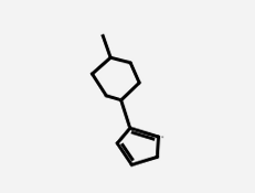 CC1CCC(C2=[C]CC=C2)CC1